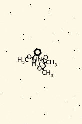 COC(=O)c1ccccc1NC(=O)C(C)(C)CC(C)=O